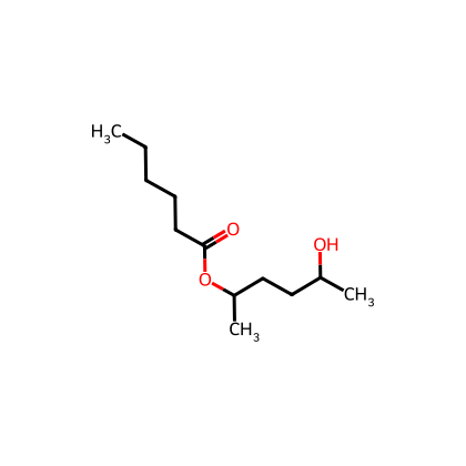 CCCCCC(=O)OC(C)CCC(C)O